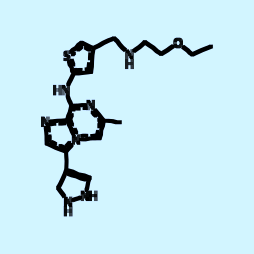 CCOCCNCc1csc(Nc2nc(C)cn3c(C4=CNNC4)cnc23)c1